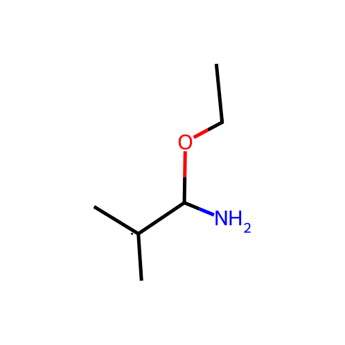 CCOC(N)[C](C)C